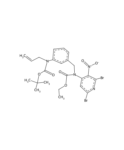 C=CCN(C(=O)OC(C)(C)C)c1cccc(CN(C(=O)OCC)c2cc(Br)nc(Br)c2[N+](=O)[O-])c1